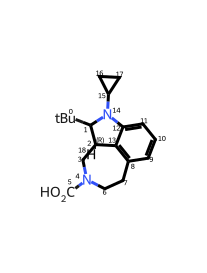 CC(C)(C)C1[C@H]2CN(C(=O)O)CCc3cccc(c32)N1C1CC1